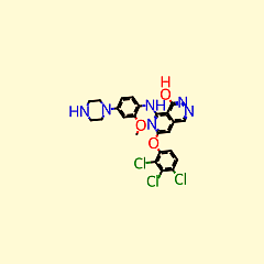 COc1cc(N2CCNCC2)ccc1Nc1nc(Oc2ccc(Cl)c(Cl)c2Cl)cc2cnnc(O)c12